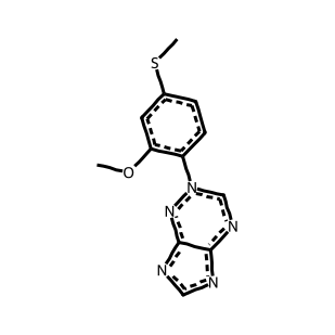 COc1cc(SC)ccc1-n1cnc2ncnc-2n1